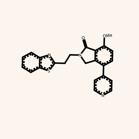 COc1ccc(-c2ccncc2)c2c1C(=O)N(CCc1nc3ccccc3s1)C2